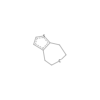 c1cc2c(s1)CCCCC2